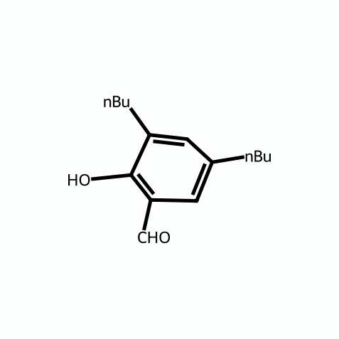 CCCCc1cc(C=O)c(O)c(CCCC)c1